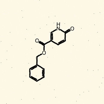 O=C(OCc1ccccc1)c1ccc(=O)[nH]c1